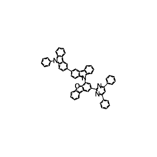 c1ccc(-c2cc(-c3ccccc3)nc(-c3cc(-n4c5ccccc5c5cc(-c6ccc7c(c6)c6ccccc6n7-c6ccccc6)ccc54)c4oc5ccccc5c4c3)n2)cc1